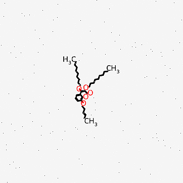 CCC=CCCOc1cccc2c(OCCCCCCCCCC)c(OCCCCCCCCCC)c(=O)oc12